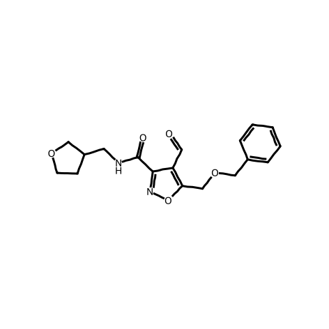 O=Cc1c(C(=O)NCC2CCOC2)noc1COCc1ccccc1